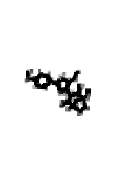 CCc1sc(-c2ccc(SC)cc2)nc1C1C(=O)[C@@H]2CC[C@@H](C2)C1=O